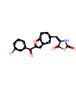 O=C1NC(=Cc2ccc3oc(C(=O)c4cccc(Cl)c4)cc3c2)C(=O)S1